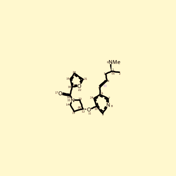 CN[C@@H](C)C/C=C/c1cncc(O[C@@H]2CCN(C(=O)c3ccco3)C2)c1